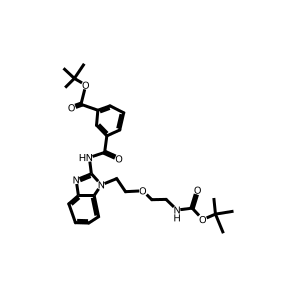 CC(C)(C)OC(=O)NCCOCCn1c(NC(=O)c2cccc(C(=O)OC(C)(C)C)c2)nc2ccccc21